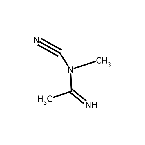 CC(=N)N(C)C#N